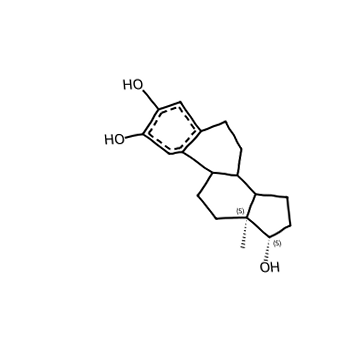 C[C@]12CCC3c4cc(O)c(O)cc4CCC3C1CC[C@@H]2O